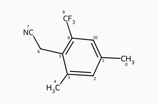 Cc1cc(C)c(CC#N)c(C(F)(F)F)c1